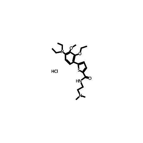 CCOc1c(-c2ccc(C(=O)NCCN(C)C)s2)ccc(N(CC)CC)c1OC.Cl